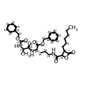 CCCCCCC1C(=O)OC1C(=O)NCCC[C@H](NC(=O)C(C)NC(=O)OCc1ccccc1)C(=O)OCc1ccccc1